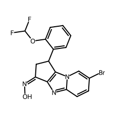 O/N=C1/CC(c2ccccc2OC(F)F)c2c1nc1ccc(Br)cn21